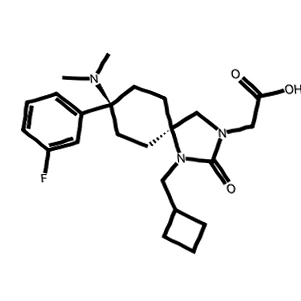 CN(C)[C@]1(c2cccc(F)c2)CC[C@]2(CC1)CN(CC(=O)O)C(=O)N2CC1CCC1